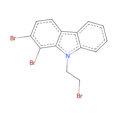 BrCCn1c2ccccc2c2ccc(Br)c(Br)c21